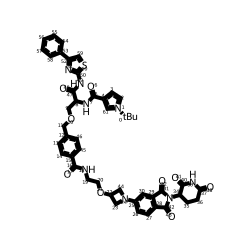 CC(C)(C)n1ccc(C(=O)NC(COCc2ccc(C(=O)NCCOC3CN(c4ccc5c(c4)C(=O)N(C4CCC(=O)NC4=O)C5=O)C3)cc2)C(=O)Nc2nc(-c3ccccc3)cs2)c1